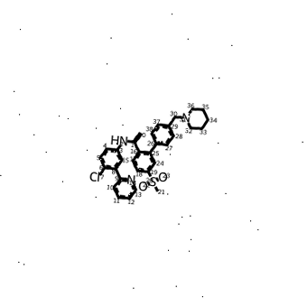 C=C(Nc1ccc(Cl)c(-c2ccccn2)c1)c1ccc(S(C)(=O)=O)cc1-c1ccc(CN2CCCCC2)cc1